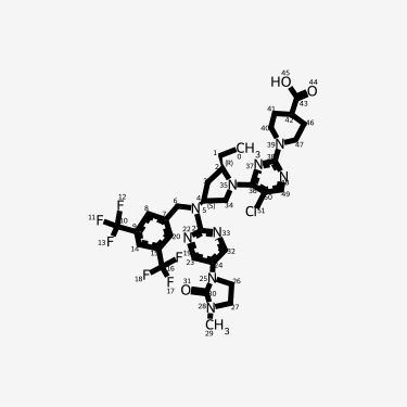 CC[C@@H]1C[C@H](N(Cc2cc(C(F)(F)F)cc(C(F)(F)F)c2)c2ncc(N3CCN(C)C3=O)cn2)CN1c1nc(N2CCC(C(=O)O)CC2)ncc1Cl